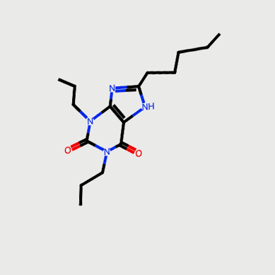 CCCCCc1nc2c([nH]1)c(=O)n(CCC)c(=O)n2CCC